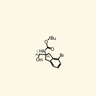 C[C@@H](O)[C@@]1(NC(=O)OC(C)(C)C)Cc2cccc(Br)c2C1